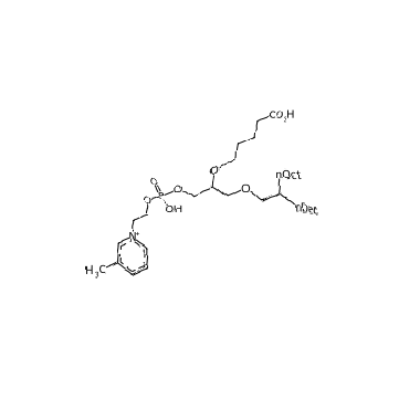 CCCCCCCCCCC(CCCCCCCC)COCC(COP(=O)(O)OCC[n+]1cccc(C)c1)OCCCCC(=O)O